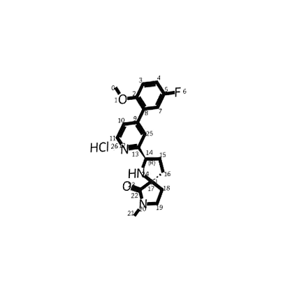 COc1ccc(F)cc1-c1ccnc([C@H]2CC[C@@]3(CCN(C)C3=O)N2)c1.Cl